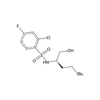 CC(C)(C)[CH]C[C@H](CO)NS(=O)(=O)c1ccc(F)cc1Cl